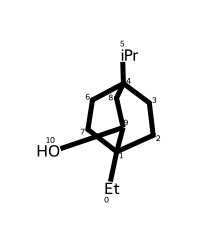 CCC12CCC(C(C)C)(CC1)CC2O